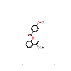 C=C(C(=O)O)c1ccccc1OC(=O)c1ccc(OC(F)(F)F)cc1